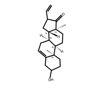 C=CC1C[C@H]2[C@@H]3CC=C4CC(O)CC[C@]4(C)[C@@H]3CC[C@]2(C)C1=O